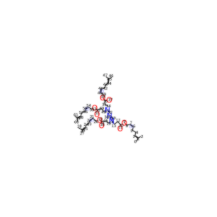 CC(C)=CCC/C=C\COC(=O)CCN(CCC(=O)OC/C=C\CCC=C(C)C)CN(C)CN(CCC(=O)OC/C=C\CCC=C(C)C)CCC(=O)OC/C=C\CCC=C(C)C